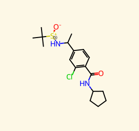 CC(N[S@+]([O-])C(C)(C)C)c1ccc(C(=O)NC2CCCC2)c(Cl)c1